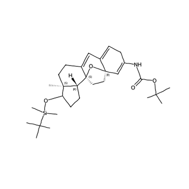 CC(C)(C)OC(=O)NC1=C[C@@]23CC[C@@]4(O2)C(=CC3=CC1)CC[C@]1(C)C(O[Si](C)(C)C(C)(C)C)CC[C@@H]41